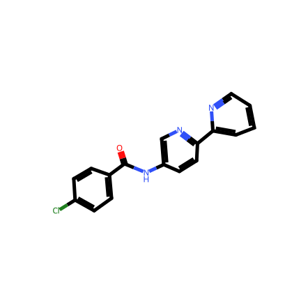 O=C(Nc1ccc(-c2ccccn2)nc1)c1ccc(Cl)cc1